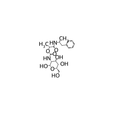 CC(OC(=O)N[C@H]1C(O)O[C@H](CO)[C@@H](O)[C@@H]1O)C(=O)N[C@@H](C)Cc1ccccc1